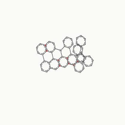 c1ccc(-c2cccc3cccc(-c4ccccc4N(c4cccc(-c5cccc6sc7ccccc7c56)c4)c4ccccc4-c4cccc5c6ccccc6n(-c6ccccc6)c45)c23)cc1